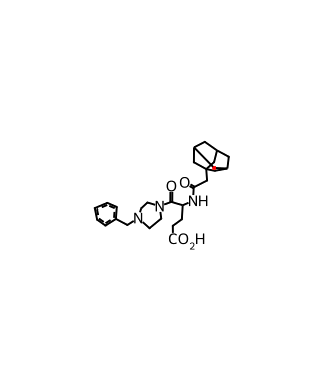 O=C(O)CCC(NC(=O)CC12CC3CC(CC(C3)C1)C2)C(=O)N1CCN(Cc2ccccc2)CC1